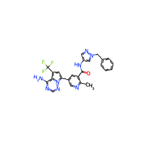 Cc1ncc(-c2cc(C(F)(F)F)c3c(N)ncnn23)cc1C(=O)Nc1cnn(Cc2ccccc2)c1